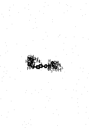 COC(=O)N[C@H](C(=O)N1C(C)CCC1c1nc(-c2ccc3cc(-c4ccc(-c5[nH]c([C@@H]6CC[C@H](C)N6C(=O)[C@H](C(C)C)N(C)C(=O)O)nc5Cl)cc4)ccc3c2)c[nH]1)C(C)C